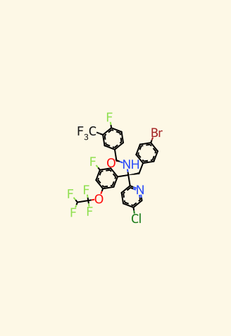 O=C(N[C@@](Cc1ccc(Br)cc1)(c1cc(F)cc(OC(F)(F)C(F)F)c1)c1ccc(Cl)cn1)c1ccc(F)c(C(F)(F)F)c1